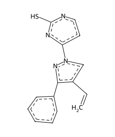 C=Cc1cn(-c2ccnc(S)n2)nc1-c1ccccc1